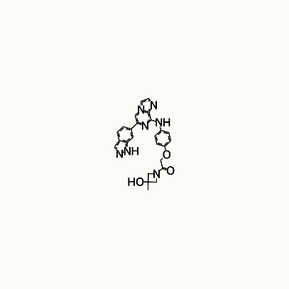 CC1(O)CN(C(=O)COc2ccc(Nc3nc(-c4ccc5cn[nH]c5c4)cn4ccnc34)cc2)C1